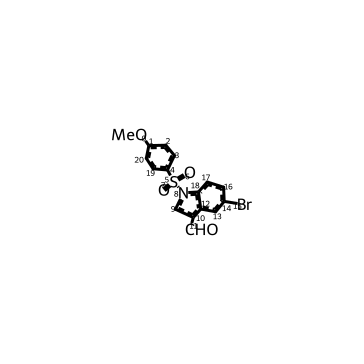 COc1ccc(S(=O)(=O)n2cc(C=O)c3cc(Br)ccc32)cc1